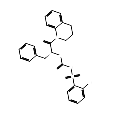 Cc1ccccc1S(=O)(=O)NC(=O)N[C@@H](Cc1ccccc1)C(=O)N1CCCc2ccccc21